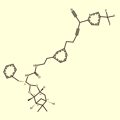 CC1(C)[C@@H]2C[C@H]3OB([C@H](Cc4ccccc4)NC(=O)NCCc4cccc(CCC#CC(C#N)c5ccc(C(F)(F)F)cn5)c4)O[C@@]3(C)[C@H]1C2